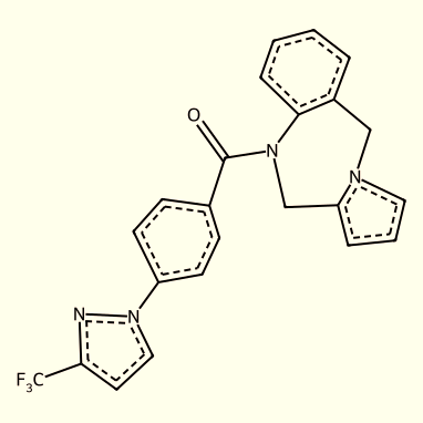 O=C(c1ccc(-n2ccc(C(F)(F)F)n2)cc1)N1Cc2cccn2Cc2ccccc21